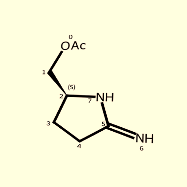 CC(=O)OC[C@@H]1CCC(=N)N1